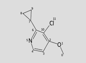 COc1ccnc(C2CC2)c1Cl